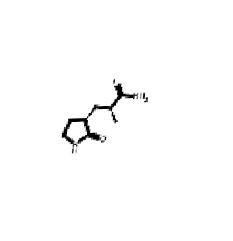 C[C@@H](C[C@@H]1CCNC1=O)C(N)=O